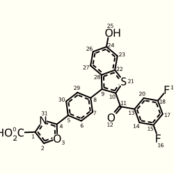 O=C(O)c1coc(-c2ccc(-c3c(C(=O)c4cc(F)cc(F)c4)sc4cc(O)ccc34)cc2)n1